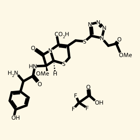 COC(=O)Cn1nnnc1SCC1=C(C(=O)O)N2C(=O)[C@](NC(=O)C(N)c3ccc(O)cc3)(OC)[C@@H]2SC1.O=C(O)C(F)(F)F